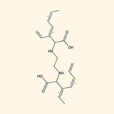 C=C/C=C\C(=C/C)C(NCCNC(C(=O)O)/C(C=C)=C/C=C\C)C(=O)O